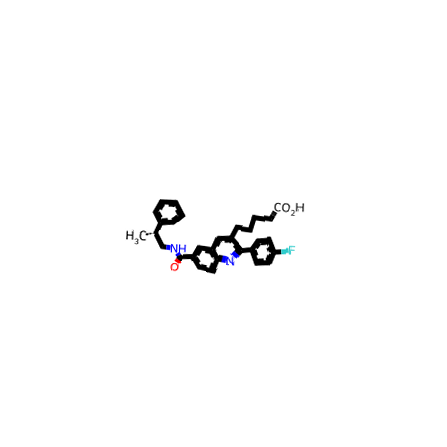 C[C@@H](CNC(=O)c1ccc2nc(-c3ccc(F)cc3)c(CCCCC(=O)O)cc2c1)c1ccccc1